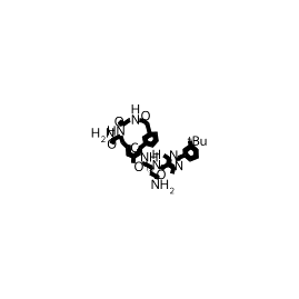 Cc1cc2cc(c1NC(=O)[C@H](CCN)NC(=O)c1c(C)nc(-c3cccc(C(C)(C)C)c3)nc1C)-c1cccc(c1)CC(=O)NCC(=O)NC(C(N)=O)C2